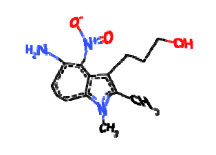 Cc1c(CCCO)c2c([N+](=O)[O-])c(N)ccc2n1C